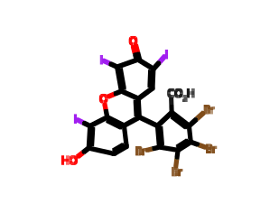 O=C(O)c1c(Br)c(Br)c(Br)c(Br)c1-c1c2cc(I)c(=O)c(I)c-2oc2c(I)c(O)ccc12